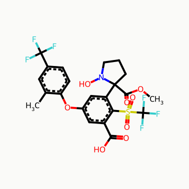 COC(=O)C1(c2cc(Oc3ccc(C(F)(F)F)cc3C)cc(C(=O)O)c2S(=O)(=O)C(F)(F)F)CCCN1O